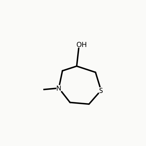 CN1CCSCC(O)C1